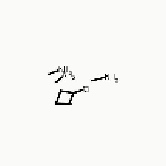 CN.CN.CN.ClC1[CH]CC1